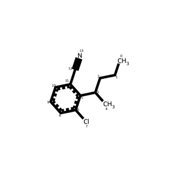 CCCC(C)c1c(Cl)cccc1C#N